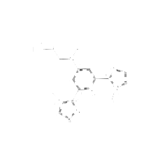 CN(CCO)c1cc(-c2nccn2C)nc(-c2nccn2C)c1